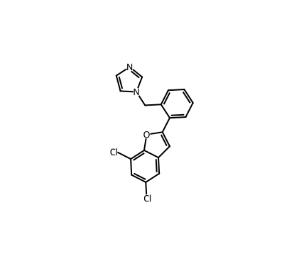 Clc1cc(Cl)c2oc(-c3ccccc3Cn3ccnc3)cc2c1